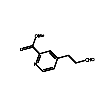 COC(=O)c1cc(CCC=O)ccn1